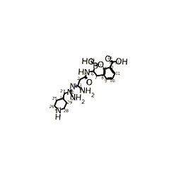 N/C(CC(=O)NC1Cc2cccc(C(=O)O)c2OB1O)=N\N(N)CC1CCNCC1